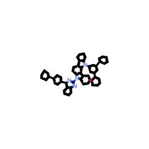 c1ccc(-c2ccc(-c3nc(-n4c5ccccc5c5c4ccc4c6ccccc6n(-c6cc(-c7ccccc7)cc(-c7ccccc7)c6)c45)nc4ccccc34)cc2)cc1